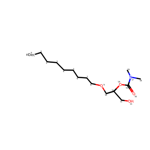 CCCCCCCCCCCCCCCCCCOCC(CO)OC(=O)N(C)C